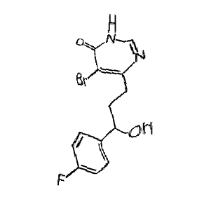 O=c1[nH]cnc(CCC(O)c2ccc(F)cc2)c1Br